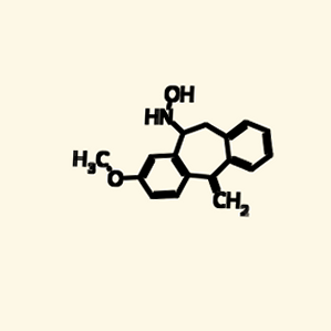 C=C1c2ccccc2CC(NO)c2cc(OC)ccc21